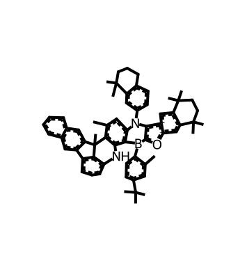 Cc1cc(C(C)(C)C)ccc1B1c2oc3cc4c(cc3c2N(c2ccc3c(c2)C(C)(C)CCC3)c2cc(C)c3c(c21)Nc1cccc2c1C3(C)c1cc3ccccc3cc1-2)C(C)(C)CCC4(C)C